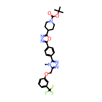 Cn1c(COc2cccc(C(F)(F)F)c2)nnc1-c1ccc(-c2nnc(C3CCN(C(=O)OC(C)(C)C)CC3)o2)cc1